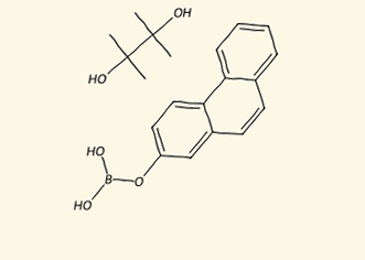 CC(C)(O)C(C)(C)O.OB(O)Oc1ccc2c(ccc3ccccc32)c1